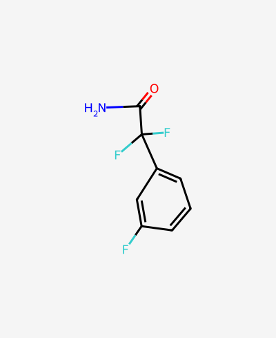 NC(=O)C(F)(F)c1cccc(F)c1